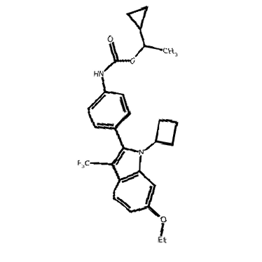 CCOc1ccc2c(C(F)(F)F)c(-c3ccc(NC(=O)OC(C)C4CC4)cc3)n(C3CCC3)c2c1